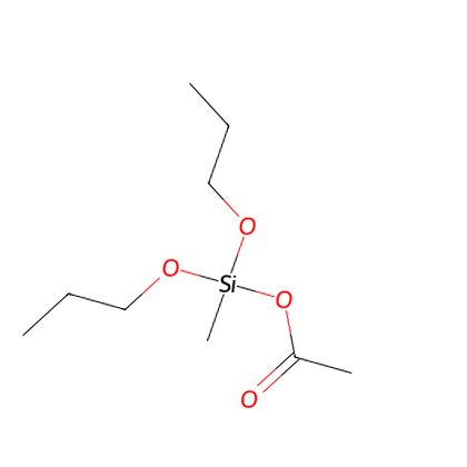 CCCO[Si](C)(OCCC)OC(C)=O